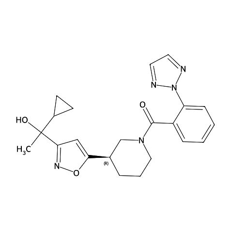 CC(O)(c1cc([C@@H]2CCCN(C(=O)c3ccccc3-n3nccn3)C2)on1)C1CC1